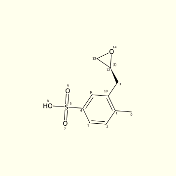 Cc1ccc(S(=O)(=O)O)cc1C[C@H]1CO1